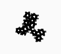 CC1(C)c2ccccc2-c2ccc(N(c3ccc(-c4ccccc4)c(-c4ccccc4)c3)c3ccc4c(c3)C(c3ccccc3)(c3ccccc3)C3=C4C=CCC3)cc21